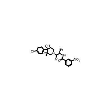 CC(C)C(NC(=O)c1cccc([N+](=O)[O-])c1)C(=O)N1CCC(O)(c2ccc(Cl)cc2)C(C)(C)C1